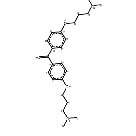 CN(C)CCCOc1ccc(C(=O)c2ccc(OCCCN(C)C)cc2)cc1